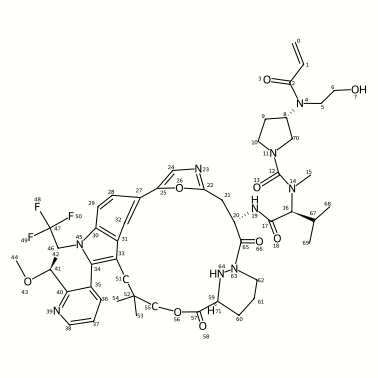 C=CC(=O)N(CCO)[C@H]1CCN(C(=O)N(C)[C@H](C(=O)N[C@H]2Cc3ncc(o3)-c3ccc4c(c3)c(c(-c3cccnc3[C@H](C)OC)n4CC(F)(F)F)CC(C)(C)COC(=O)[C@@H]3CCCN(N3)C2=O)C(C)C)C1